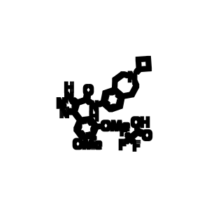 COc1ccc(-c2nn[nH]c2C(=O)Nc2ccc3c(c2)CCN(C2CCC2)CC3)cc1OC.O=C(O)C(F)(F)F